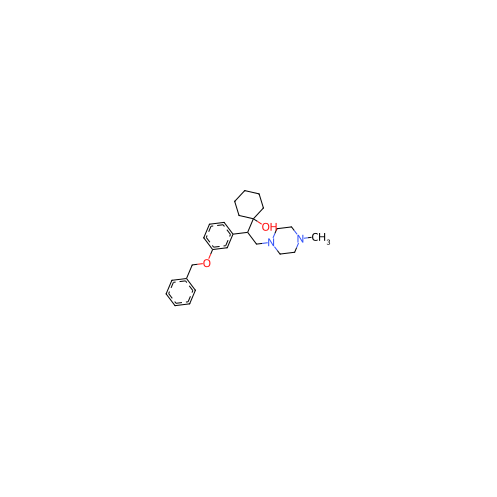 CN1CCN(CC(c2cccc(OCc3ccccc3)c2)C2(O)CCCCC2)CC1